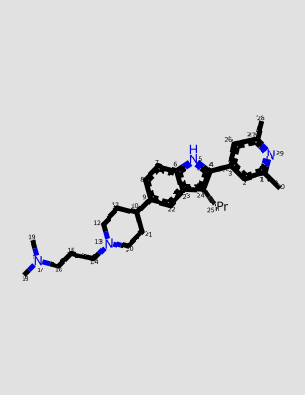 Cc1cc(-c2[nH]c3ccc(C4CCN(CCCN(C)C)CC4)cc3c2C(C)C)cc(C)n1